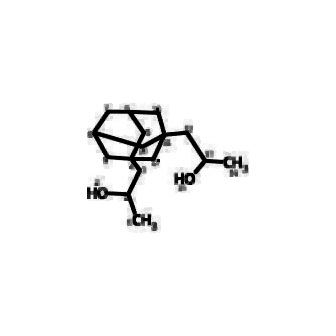 CC(O)CC12CC3CC(C1)CC(CC(C)O)(C3)C2